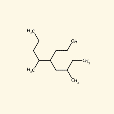 CCCC(C)C(CCO)CC(C)CC